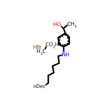 Br.CC(=O)O.CCCCCCCCCCCCCCCCNc1ccc(C(C)O)cc1